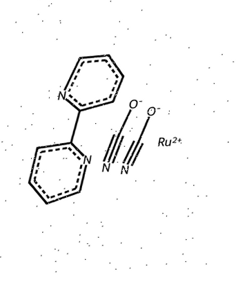 N#C[O-].N#C[O-].[Ru+2].c1ccc(-c2ccccn2)nc1